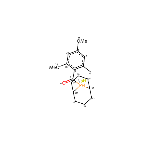 COc1cc(C)c(C(=O)[PH]2(S)C3CCCC2CCC3)c(OC)c1